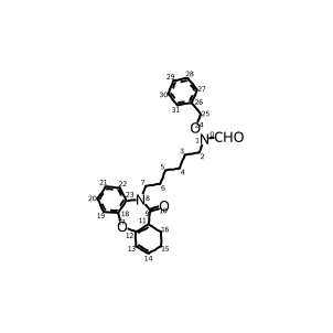 O=CN(CCCCCCN1C(=O)C2=C(C=CCC2)Oc2ccccc21)OCc1ccccc1